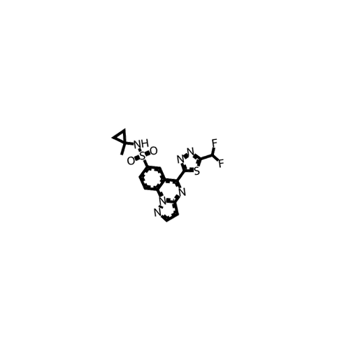 CC1(NS(=O)(=O)c2ccc3c(c2)c(-c2nnc(C(F)F)s2)nc2ccnn23)CC1